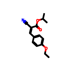 CCOc1ccc(C=C(C#N)C(=O)OC(C)C)cc1